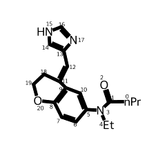 CCCC(=O)N(CC)c1ccc2c(c1)/C(=C/c1c[nH]cn1)CCO2